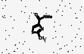 [CH2]c1nc(C(=O)NC)cs1